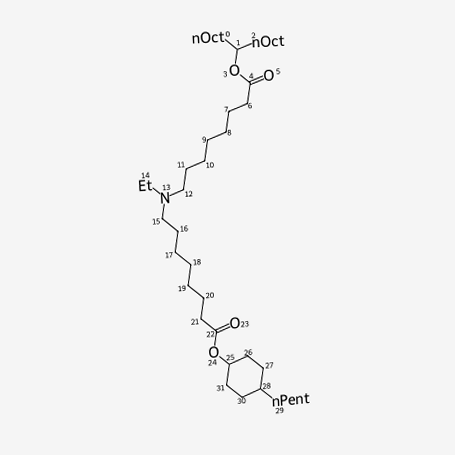 CCCCCCCCC(CCCCCCCC)OC(=O)CCCCCCCN(CC)CCCCCCCC(=O)OC1CCC(CCCCC)CC1